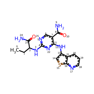 CCC(Nc1ncc(C(N)=O)c(Nc2csc3ncccc23)n1)C(N)=O